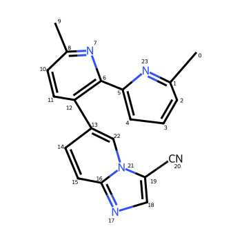 Cc1cccc(-c2nc(C)ccc2-c2ccc3ncc(C#N)n3c2)n1